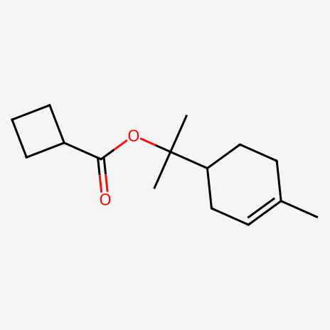 CC1=CCC(C(C)(C)OC(=O)C2CCC2)CC1